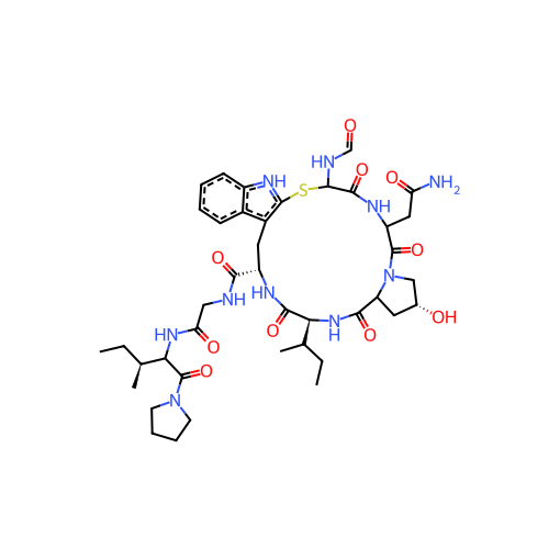 CCC(C)[C@@H]1NC(=O)C2C[C@@H](O)CN2C(=O)C(CC(N)=O)NC(=O)C(NC=O)Sc2[nH]c3ccccc3c2C[C@@H](C(=O)NCC(=O)NC(C(=O)N2CCCC2)[C@@H](C)CC)NC1=O